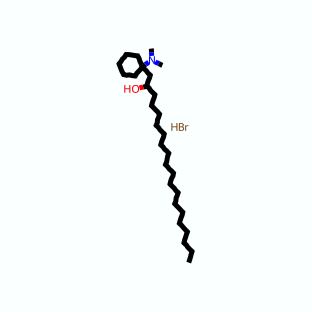 Br.CCCCCCCCCCCCCCCCCCC(O)CC1(N(C)C)CCCCC1